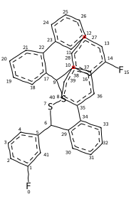 Fc1cccc(C(SSC(c2cccc(F)c2)c2ccccc2-c2ccccc2)c2ccccc2-c2ccccc2)c1